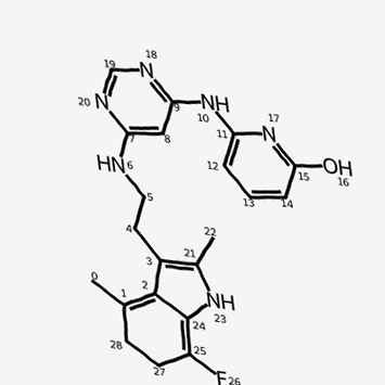 CC1=c2c(CCNc3cc(Nc4cccc(O)n4)ncn3)c(C)[nH]c2=C(F)CC1